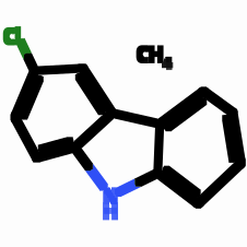 C.Clc1ccc2[nH]c3ccccc3c2c1